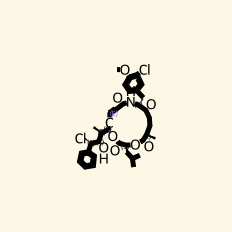 COc1ccc(C[C@H]2NC(=O)/C=C/C[C@@H]([C@H](C)[C@@H](O)[C@@H](Cl)c3ccccc3)OC(=O)[C@H](CC(C)C)OC(=O)[C@H](C)CCC2=O)cc1Cl